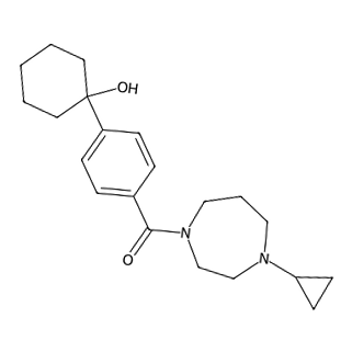 O=C(c1ccc(C2(O)CCCCC2)cc1)N1CCCN(C2CC2)CC1